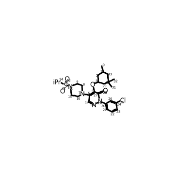 CC1CC(Oc2c(N3CCN(S(=O)(=O)C(C)C)CC3)cnn(-c3cccc(Cl)c3)c2=O)CC(C)(C)C1